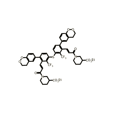 CCOC(=O)C1CCCN(C(=O)/C=C/c2c(-c3ccc4c(c3)CCOO4)ccc(Sc3ccc(-c4ccc5c(c4)CCOO5)c(/C=C/C(=O)N4CCCC(C(=O)OCC)C4)c3C(F)(F)F)c2C(F)(F)F)C1